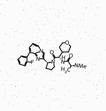 CN[C@@H](C)C(=O)N[C@H](C(=O)N1CCC[C@H]1c1cn2cccc(-c3ccccc3F)c2n1)C1CCOCC1